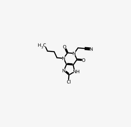 CCCCn1c(=O)n(CC#N)c(=O)c2[nH]c(Cl)nc21